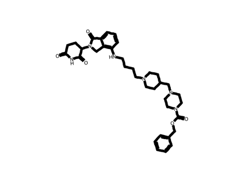 O=C1CCC(N2Cc3c(NCCCCN4CCC(CN5CCN(C(=O)OCc6ccccc6)CC5)CC4)cccc3C2=O)C(=O)N1